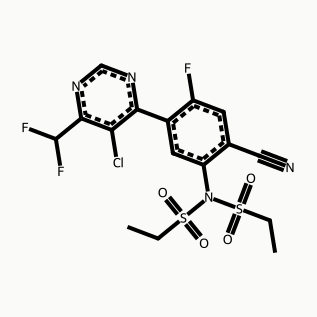 CCS(=O)(=O)N(c1cc(-c2ncnc(C(F)F)c2Cl)c(F)cc1C#N)S(=O)(=O)CC